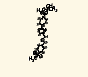 CC(C)(C)OC(=O)N1CCC(c2nc(COCc3ccc(S(C)(=O)=O)cc3)cs2)CC1